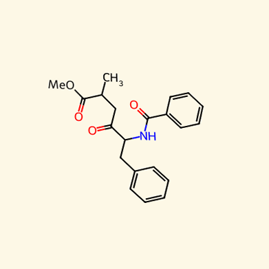 COC(=O)C(C)CC(=O)C(Cc1ccccc1)NC(=O)c1ccccc1